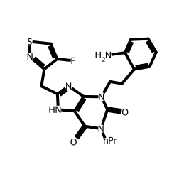 CCCn1c(=O)c2[nH]c(Cc3nscc3F)nc2n(CCc2ccccc2N)c1=O